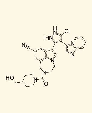 N#Cc1cc2c3c(c1)c(-c1[nH][nH]c(=O)c1-c1cnc4ccccn14)cn3CCN(C(=O)N1CCC(CO)CC1)C2